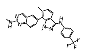 CNc1ncc2cc(-c3c(C)ccc4c(Nc5ccc(C(F)(F)F)cc5)nn(C)c34)ccc2n1